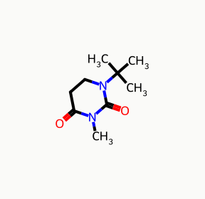 CN1C(=O)CCN(C(C)(C)C)C1=O